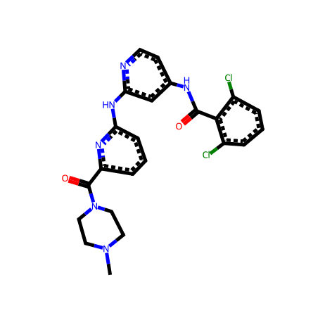 CN1CCN(C(=O)c2cccc(Nc3cc(NC(=O)c4c(Cl)cccc4Cl)ccn3)n2)CC1